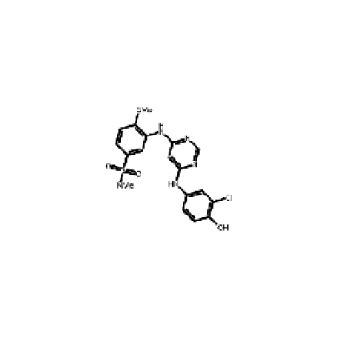 CNS(=O)(=O)c1ccc(SC)c(Nc2cc(Nc3ccc(O)c(Cl)c3)ncn2)c1